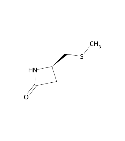 CSC[C@H]1CC(=O)N1